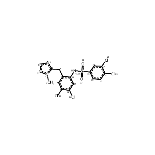 Cn1nnnc1Cc1cc(Cl)c(Cl)cc1NS(=O)(=O)c1ccc(Cl)c(Cl)c1